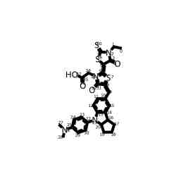 CCN1C(=O)/C(=c2\s/c(=C/c3ccc4c(c3)C3CCCC3N4c3ccc(N(C)C)cc3)c(=O)n2CC(=O)O)SC1=S